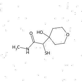 CNC(=O)C(S)C1(O)CCOCC1